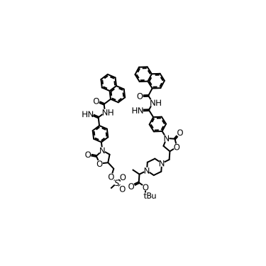 CC(C(=O)OC(C)(C)C)N1CCN(CC2CN(c3ccc(C(=N)NC(=O)c4cccc5ccccc45)cc3)C(=O)O2)CC1.CS(=O)(=O)OCC1CN(c2ccc(C(=N)NC(=O)c3cccc4ccccc34)cc2)C(=O)O1